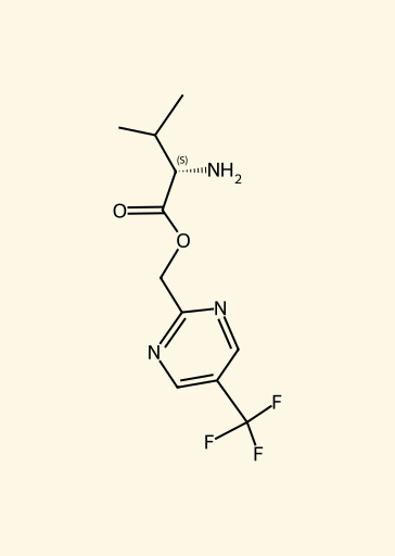 CC(C)[C@H](N)C(=O)OCc1ncc(C(F)(F)F)cn1